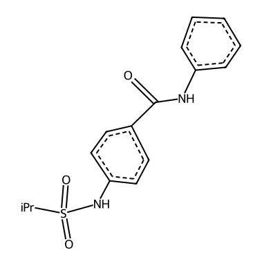 CC(C)S(=O)(=O)Nc1ccc(C(=O)Nc2ccccc2)cc1